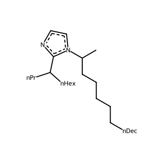 CCCCCCCCCCCCCCCC(C)n1ccnc1C(CCC)CCCCCC